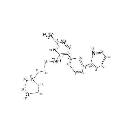 Nc1ncc(-c2cccc(-c3ccccn3)c2)c(NCCCN2CCOCC2)n1